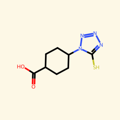 O=C(O)C1CCC(n2nnnc2S)CC1